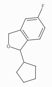 Fc1ccc2c(c1)COC2C1CCCC1